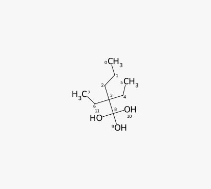 CCCC(CC)(CC)C(O)(O)O